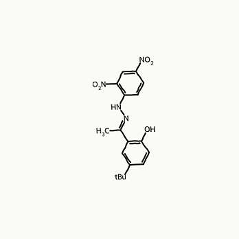 C/C(=N\Nc1ccc([N+](=O)[O-])cc1[N+](=O)[O-])c1cc(C(C)(C)C)ccc1O